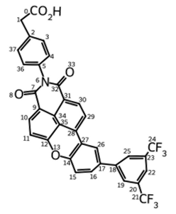 O=C(O)Cc1ccc(-n2c(=O)c3ccc4oc5ccc(-c6cc(C(F)(F)F)cc(C(F)(F)F)c6)cc5c5ccc(c2=O)c3c45)cc1